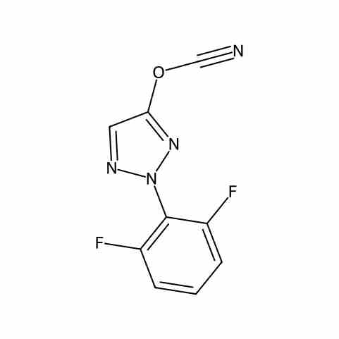 N#COc1cnn(-c2c(F)cccc2F)n1